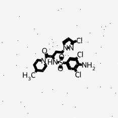 CC1CCN(C(=O)C(CCn2ccc(Cl)n2)NS(=O)(=O)c2cc(Cl)c(N)c(Cl)c2)CC1